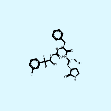 CC(C)C(OC(=O)N[C@@H](Cc1ccccc1)C(=O)N[C@H](CO)C[C@@H]1CCNC1=O)C(F)(F)c1cccc(Cl)c1